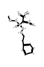 COOP(=O)(OOCCc1ccccc1)C(=[N+]=[N-])C(=O)O